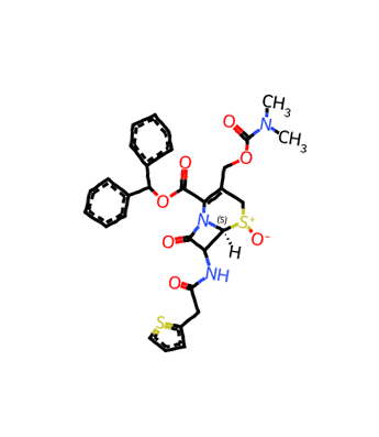 CN(C)C(=O)OCC1=C(C(=O)OC(c2ccccc2)c2ccccc2)N2C(=O)C(NC(=O)Cc3cccs3)[C@@H]2[S+]([O-])C1